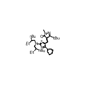 CCCCC(CC)CN(CC(CC)CCCC)c1nc(-c2ccccc2)c(/C=C2\C(=O)N(C)N=C2C(C)(C)C)s1